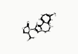 O=C1OCC(C(F)F)N1c1cn2c(n1)C1=CCC=C(Br)C=C1OCC2